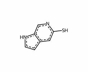 Sc1cc2cc[nH]c2cn1